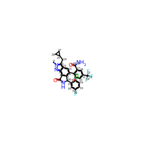 Cn1nc2c3c(c(-c4c(F)cc(C(F)(F)F)cc4C(N)=O)cc2c1CC1CC1)C(c1cc(F)ccc1Cl)NC3=O